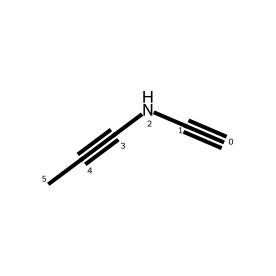 C#CNC#CC